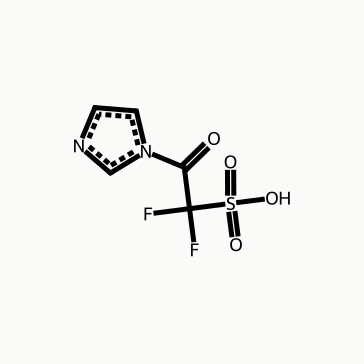 O=C(n1ccnc1)C(F)(F)S(=O)(=O)O